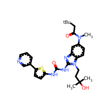 CN(C(=O)CC(C)(C)C)c1ccc2c(c1)nc(NC(=O)Nc1ccc(-c3cccnc3)s1)n2CCC(C)(C)O